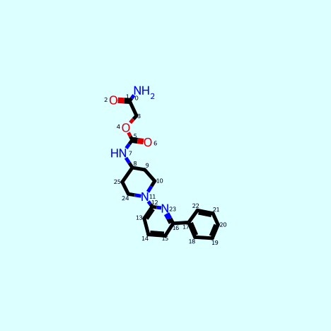 NC(=O)COC(=O)NC1CCN(c2cccc(-c3ccccc3)n2)CC1